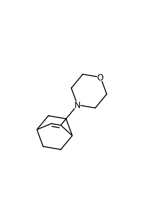 C1=C(N2CCOCC2)C2CCC1CC2